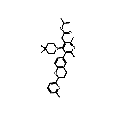 Cc1cccc(C2CCc3cc(-c4c(C)nc(C)c(CC(=O)OC(C)C)c4N4CCC(C)(C)CC4)ccc3O2)n1